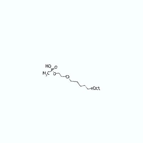 CCCCCCCCCCCCCOCCOP(C)(=O)O